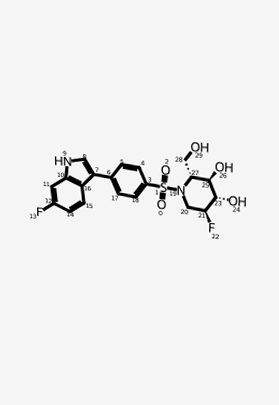 O=S(=O)(c1ccc(-c2c[nH]c3cc(F)ccc23)cc1)N1C[C@H](F)[C@@H](O)[C@H](O)[C@H]1CO